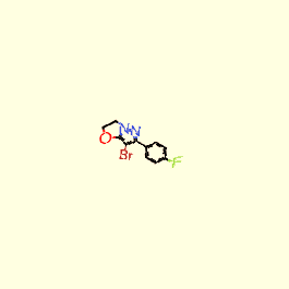 Fc1ccc(-c2nn3c(c2Br)OCC3)cc1